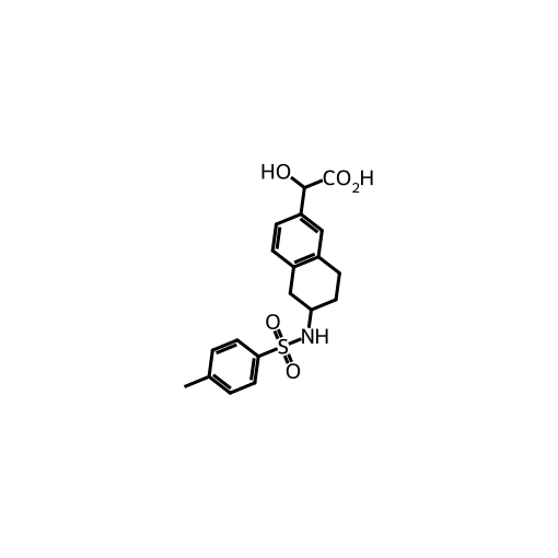 Cc1ccc(S(=O)(=O)NC2CCc3cc(C(O)C(=O)O)ccc3C2)cc1